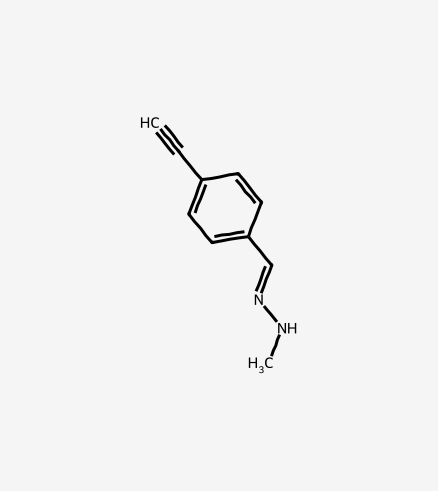 C#Cc1ccc(/C=N/NC)cc1